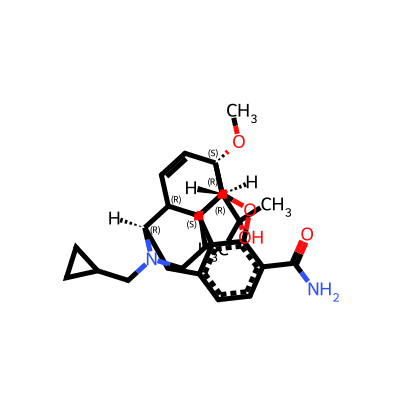 CO[C@@]12C=C[C@@]3(C[C@@H]1C(C)(C)O)[C@H]1Cc4ccc(C(N)=O)c5c4[C@@]3(CCN1CC1CC1)[C@H]2O5